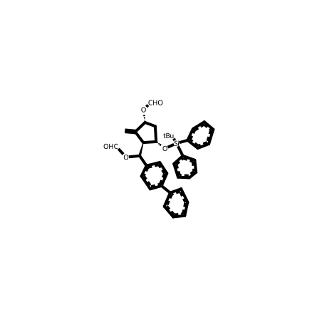 C=C1[C@H](C(OC=O)c2ccc(-c3ccccc3)cc2)[C@@H](O[Si](c2ccccc2)(c2ccccc2)C(C)(C)C)C[C@H]1OC=O